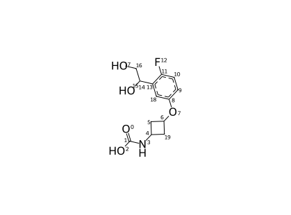 O=C(O)NC1CC(Oc2ccc(F)c(C(O)CO)c2)C1